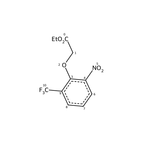 CCOC(=O)COc1c([N+](=O)[O-])cccc1C(F)(F)F